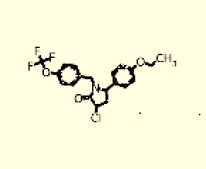 CCOc1ccc(C2CC(Cl)C(=O)N2Cc2ccc(OC(F)(F)F)cc2)cc1